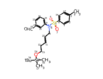 Cc1ccc(S(=O)(=O)N(C/C=C/CCO[Si](C)(C)C(C)(C)C)c2cccc(C=O)c2)cc1